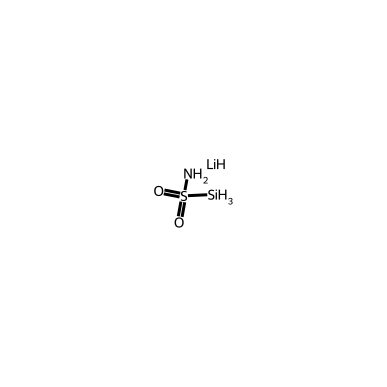 NS(=O)(=O)[SiH3].[LiH]